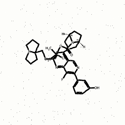 CC(C)(C)OC(=O)N1[C@@H]2CC[C@H]1CN(c1nc(OCC34CCCN3CCC4)nc3c(F)c(-c4cccc(O)c4)ncc13)C2